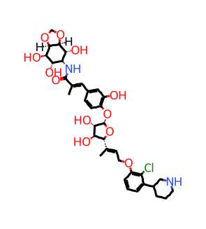 CC(=Cc1ccc(O[C@@H]2O[C@H](C(C)=CCOc3cccc(C4CCCNC4)c3Cl)[C@@H](O)[C@@H]2O)c(O)c1)C(=O)N[C@@H]1[C@H](O)[C@@H](O)[C@H]2OCO[C@H]2[C@@H]1O